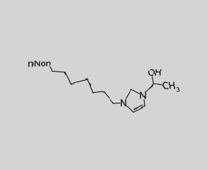 CCCCCCCCCCCCCCCCN1C=CN(C(C)O)C1